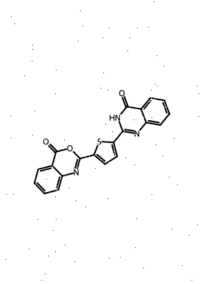 O=c1[nH]c(-c2ccc(-c3nc4ccccc4c(=O)o3)s2)nc2ccccc12